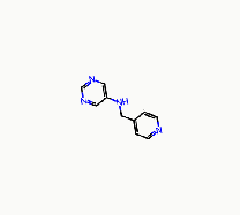 [c]1cnccc1CNc1cncnc1